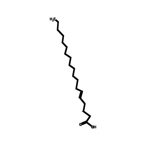 CCCCCCCCCCCCCC=CC[CH]CC(=O)O